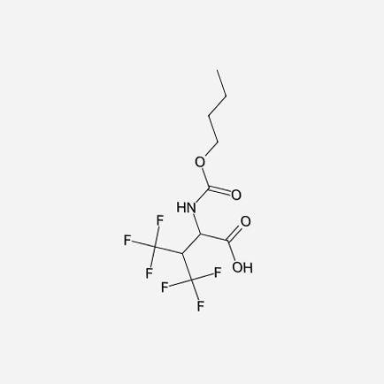 CCCCOC(=O)NC(C(=O)O)C(C(F)(F)F)C(F)(F)F